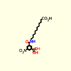 O=C(O)CCCCCCCCCCCNC(=O)c1cc(B(O)O)cc([N+](=O)[O-])c1